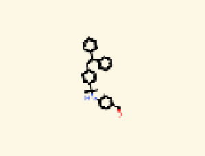 CC(C)(Nc1ccc(C=O)cc1)c1ccc(C=C(c2ccccc2)c2ccccc2)cc1